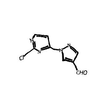 O=Cc1cnn(-c2ccnc(Cl)n2)c1